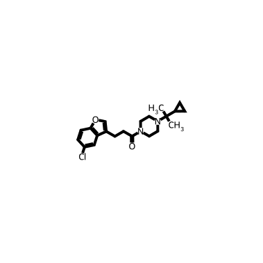 CC(C)(C1CC1)N1CCN(C(=O)CCc2coc3ccc(Cl)cc23)CC1